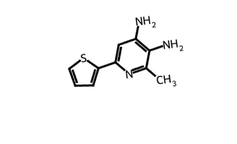 Cc1nc(-c2cccs2)cc(N)c1N